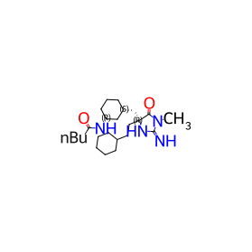 CCCCC(=O)N[C@@H]1CCC[C@H](C[C@@]2(CCC3CCCCC3)NC(=N)N(C)C2=O)C1